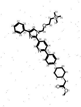 COC(=O)C[C@H]1CC[C@H](c2ccc(-c3ccc(-c4nc(-c5ccccc5)cn4COCC[Si](C)(C)C)cn3)cc2)CC1